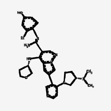 CCc1cc(O)ccc1/N=C(\N)c1cnn2cc(-c3cnccc3N3CC[C@H](N(C)C)C3)cc2c1N[C@H]1CCOC1